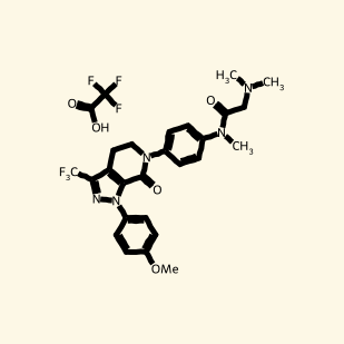 COc1ccc(-n2nc(C(F)(F)F)c3c2C(=O)N(c2ccc(N(C)C(=O)CN(C)C)cc2)CC3)cc1.O=C(O)C(F)(F)F